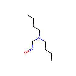 CCCCN(CCCC)CN=O